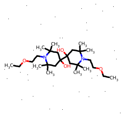 CCOCCN1C(C)(C)CC(O)(C2(O)CC(C)(C)N(CCOCC)C(C)(C)C2)CC1(C)C